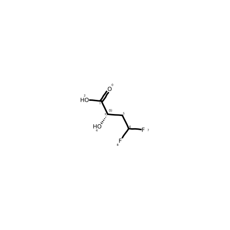 O=C(O)[C@@H](O)CC(F)F